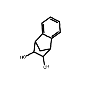 OC1C2CC(c3ccccc32)C1O